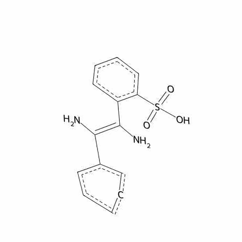 NC(=C(N)c1ccccc1S(=O)(=O)O)c1ccccc1